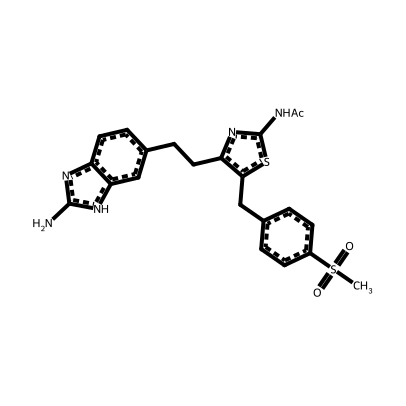 CC(=O)Nc1nc(CCc2ccc3nc(N)[nH]c3c2)c(Cc2ccc(S(C)(=O)=O)cc2)s1